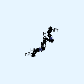 CCCc1ccc(C)n1-c1ccc(Nc2ccc(/N=N/c3cccc[n+]3CCCN(C)C(=O)c3ccc(C(=O)N(C)CCC[n+]4ccccc4/N=N/c4ccc(Nc5ccc(-n6c(C)ccc6CCC)cc5)cc4)cc3)cc2)cc1